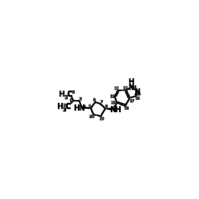 CC(C)CN[C@H]1CC[C@@H](Nc2ccc3[nH]ncc3c2)CC1